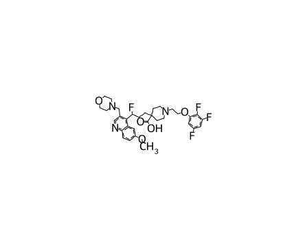 COc1ccc2ncc(CN3CCOCC3)c(C(F)CCC3(C(=O)O)CCN(CCOc4cc(F)cc(F)c4F)CC3)c2c1